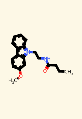 CCCC(=O)NCCn1c2ccccc2c2ccc(OC)cc21